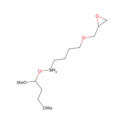 COCCC(OC)O[SiH2]CCCCOCC1CO1